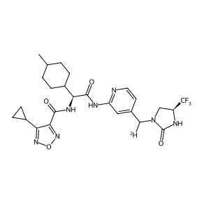 [2H]C(c1ccnc(NC(=O)[C@@H](NC(=O)c2nonc2C2CC2)C2CCC(C)CC2)c1)N1C[C@@H](C(F)(F)F)NC1=O